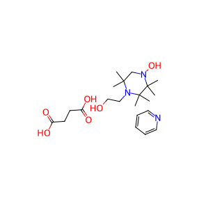 CC1(C)CN(O)C(C)(C)C(C)(C)N1CCO.O=C(O)CCC(=O)O.c1ccncc1